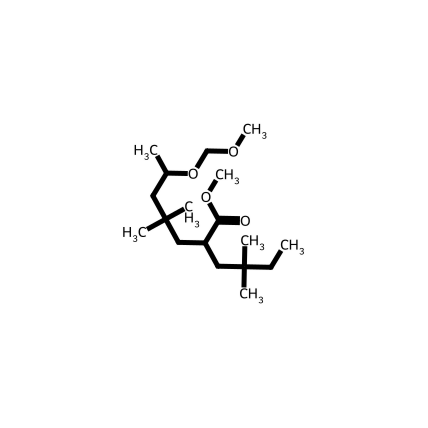 CCC(C)(C)CC(CC(C)(C)CC(C)OCOC)C(=O)OC